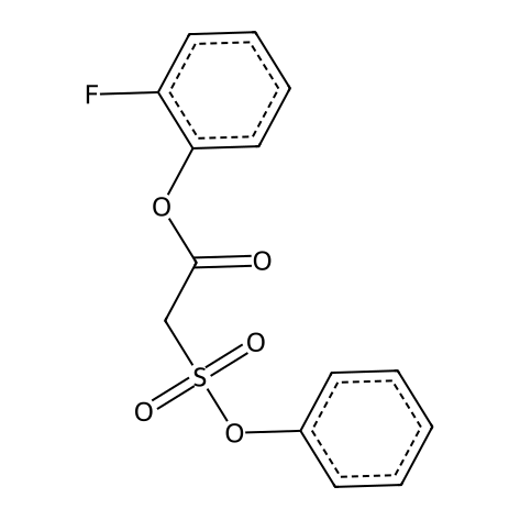 O=C(CS(=O)(=O)Oc1ccccc1)Oc1ccccc1F